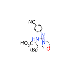 CC(C)(C)CC(N/C(=N\c1ccc(C#N)cc1)N1CCOCC1)C(=O)O